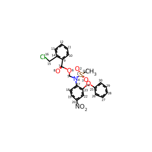 CS(=O)(=O)N(COC(=O)c1ccccc1CCl)c1ccc([N+](=O)[O-])cc1Oc1ccccc1